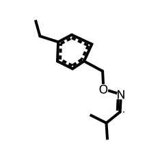 CCc1ccc(CO/N=[C]\C(C)C)cc1